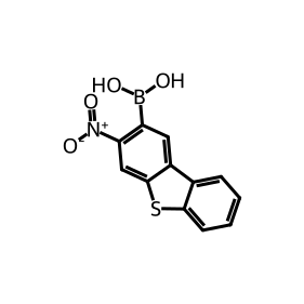 O=[N+]([O-])c1cc2sc3ccccc3c2cc1B(O)O